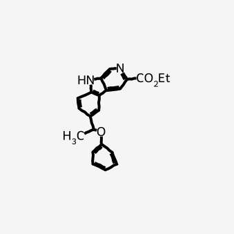 CCOC(=O)c1cc2c(cn1)[nH]c1ccc(C(C)Oc3ccccc3)cc12